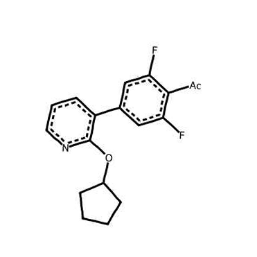 CC(=O)c1c(F)cc(-c2cccnc2OC2CCCC2)cc1F